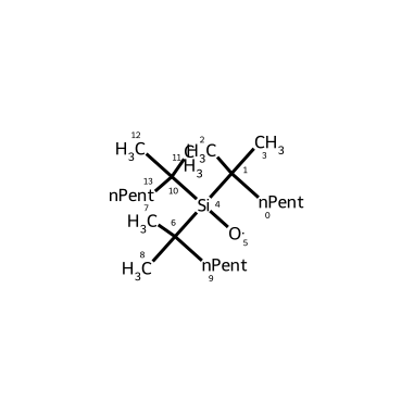 CCCCCC(C)(C)[Si]([O])(C(C)(C)CCCCC)C(C)(C)CCCCC